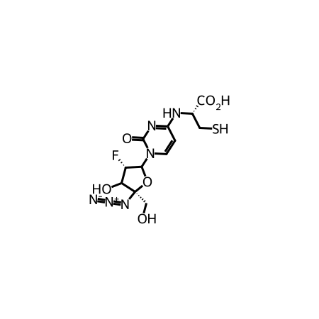 [N-]=[N+]=N[C@]1(CO)OC(n2ccc(N[C@@H](CS)C(=O)O)nc2=O)[C@@H](F)C1O